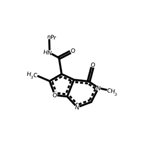 CCCNC(=O)c1c(C)oc2ncn(C)c(=O)c12